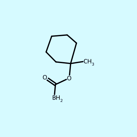 BC(=O)OC1(C)CCCCC1